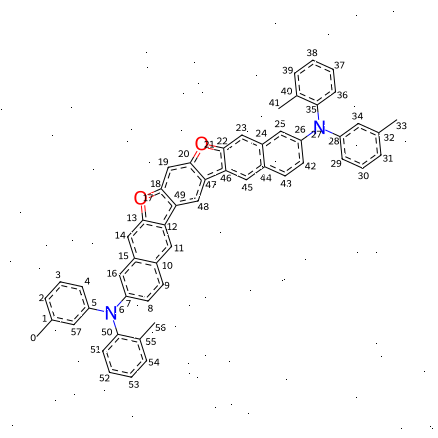 Cc1cccc(N(c2ccc3cc4c(cc3c2)oc2cc3oc5cc6cc(N(c7cccc(C)c7)c7ccccc7C)ccc6cc5c3cc24)c2ccccc2C)c1